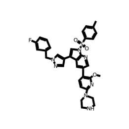 COc1nc(N2CCNCC2)ccc1-c1cnc2c(c1)c(-c1cnn(Cc3cccc(F)c3)c1)cn2S(=O)(=O)c1ccc(C)cc1